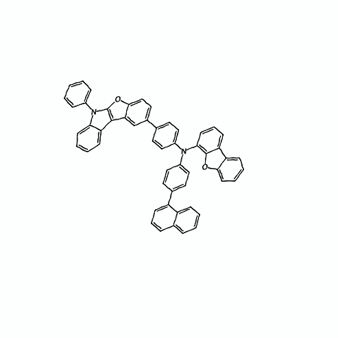 c1ccc(-n2c3ccccc3c3c4cc(-c5ccc(N(c6ccc(-c7cccc8ccccc78)cc6)c6cccc7c6oc6ccccc67)cc5)ccc4oc32)cc1